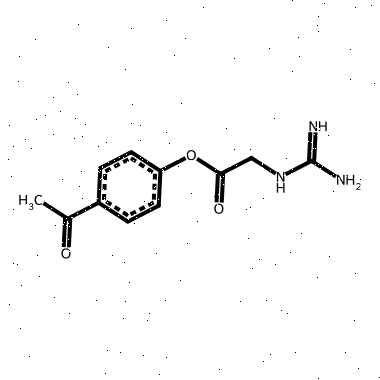 CC(=O)c1ccc(OC(=O)CNC(=N)N)cc1